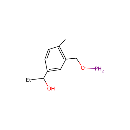 CCC(O)c1ccc(C)c(COP)c1